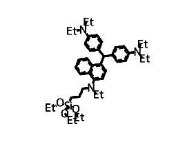 CCO[Si](CCCN(CC)c1ccc(C(c2ccc(N(CC)CC)cc2)c2ccc(N(CC)CC)cc2)c2ccccc12)(OCC)OCC